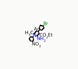 CCOC(=O)C1=C(N)N(c2cccc([N+](=O)[O-])c2)C(C)=C(C(C)=O)C1c1ccc(Br)cc1